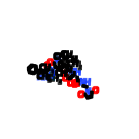 CN[C@H](C(=O)NC(C(=O)N(C)[C@H](/C=C(\C)C(=O)N[C@H](CC(=O)NCCN1C(=O)C=CC1=O)C(=O)O)C(C)C)C(C)(C)C)C(C)(C)c1ccccc1